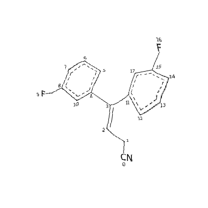 N#CCC=C(c1cccc(F)c1)c1cccc(F)c1